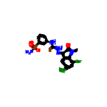 CN1C(=O)C(=NNC(=S)Nc2cccc(S(N)(=O)=O)c2)c2cc(Br)cc(Br)c21